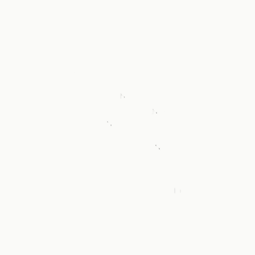 CCC(CC)CNc1ccnc(Nc2c(C)cc(C)cc2C)c1[N+](=O)[O-]